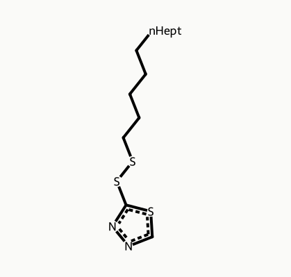 CCCCCCCCCCCCSSc1nncs1